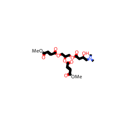 COC(=O)/C=C/C(=O)OCC(COC(=O)C[C@@H](O)CN(C)C)OC(=O)/C=C/C(=O)OC